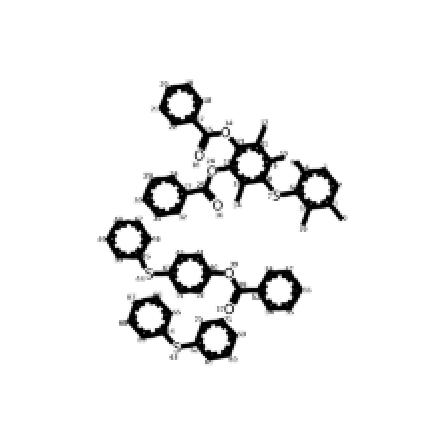 Cc1ccc(C)c(Sc2c(C)c(C)c(OC(=O)c3ccccc3)c(OC(=O)c3ccccc3)c2C)c1C.O=C(Oc1ccc(Sc2cc[c]cc2)cc1)c1ccccc1.[c]1ccc(Sc2cc[c]cc2)cc1